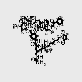 CC[C@H](C)C([C@@H](CC(=O)N1CCC[C@H]1[C@H](OC)[C@@H](C)C(=O)N[C@H](C)[C@@H](O)c1ccccc1)OC)N(C)C(=O)[C@@H](NC(=O)[C@H](C(C)C)N(C)C(=O)OCc1ccc(NC(=O)C(CCCNC(N)=O)NC(=O)[C@@H](NC(=O)CCCCCN2C(=O)C=CC2=O)C(C)C)cc1)C(C)C